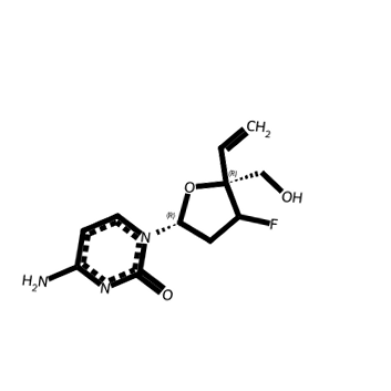 C=C[C@]1(CO)O[C@@H](n2ccc(N)nc2=O)CC1F